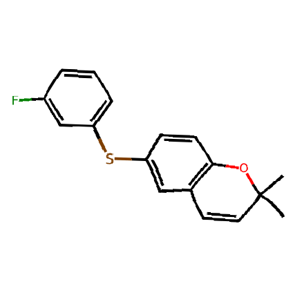 CC1(C)C=Cc2cc(Sc3cccc(F)c3)ccc2O1